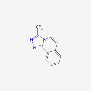 FC(F)(F)c1nnc2c3ccccc3ccn12